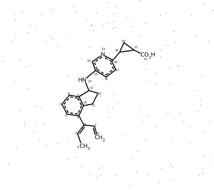 C=C/C(=C\C)c1cccc2c1CCC2Nc1ccc(C2CC2C(=O)O)nc1